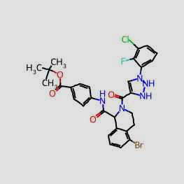 CC(C)(C)OC(=O)c1ccc(NC(=O)C2c3cccc(Br)c3CCN2C(=O)C2=CN(c3cccc(Cl)c3F)NN2)cc1